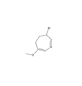 COC1=CN=CC(Br)CC1